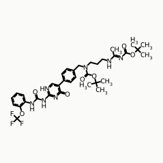 C/C(=N\C(=O)OC(C)(C)C)NCCCN(Cc1ccc(-c2c[nH]c(NC(=O)Nc3ccccc3OC(F)(F)F)nc2=O)cc1)C(=O)OC(C)(C)C